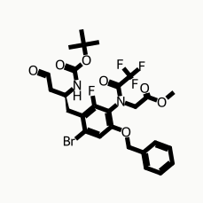 COC(=O)CN(C(=O)C(F)(F)F)c1c(OCc2ccccc2)cc(Br)c(C[C@@H](CC=O)NC(=O)OC(C)(C)C)c1F